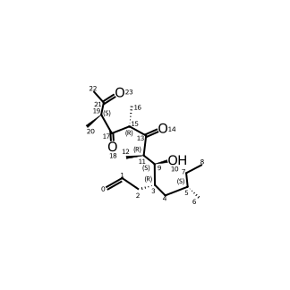 C=CC[C@@H](C[C@@H](C)CC)[C@H](O)[C@@H](C)C(=O)[C@@H](C)C(=O)[C@@H](C)C(C)=O